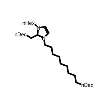 CCCCCCCCCCCCCCCCCCCN1C=CN(CCCCCC)C1CCCCCCCCCCC